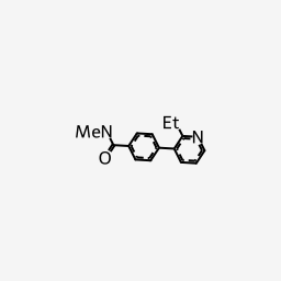 CCc1ncccc1-c1ccc(C(=O)NC)cc1